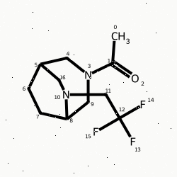 CC(=O)N1CC2CCC(C1)N(CC(F)(F)F)C2